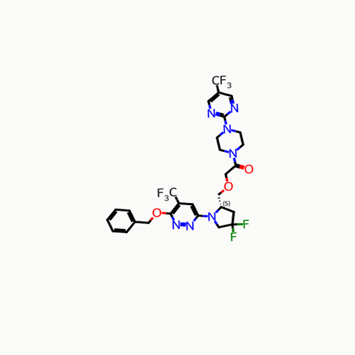 O=C(COC[C@@H]1CC(F)(F)CN1c1cc(C(F)(F)F)c(OCc2ccccc2)nn1)N1CCN(c2ncc(C(F)(F)F)cn2)CC1